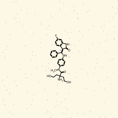 CN(C(=O)C(N)(CCO)CCO)c1ccc(N/C(=C2\C(=O)Nc3cc(F)ccc32)c2ccccc2)cc1